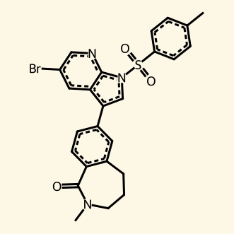 Cc1ccc(S(=O)(=O)n2cc(-c3ccc4c(c3)CCCN(C)C4=O)c3cc(Br)cnc32)cc1